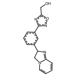 OCc1nc(-c2cccc(C3CN4C=CC=CC4=N3)c2)no1